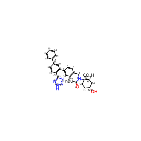 CCCCC(=O)N(Cc1ccc(-c2cc(-c3ccccc3)ccc2-c2nn[nH]n2)cc1)[C@]1(C(=O)O)CC[C@@H](O)CC1